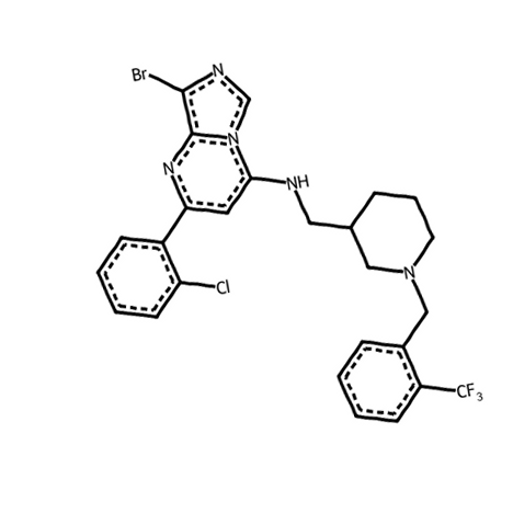 FC(F)(F)c1ccccc1CN1CCCC(CNc2cc(-c3ccccc3Cl)nc3c(Br)ncn23)C1